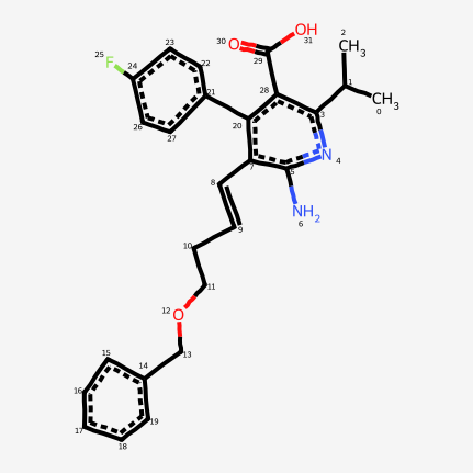 CC(C)c1nc(N)c(C=CCCOCc2ccccc2)c(-c2ccc(F)cc2)c1C(=O)O